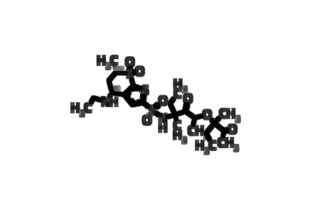 CCN[C@H]1C[C@H](C)S(=O)(=O)c2sc(S(=O)(=O)NC(C)(CC)C(=O)C(C)OC(C)(CC)C(C)=O)cc21